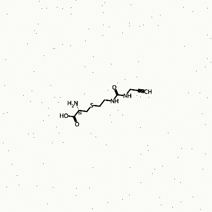 C#CCNC(=O)NCCSC[C@@H](N)C(=O)O